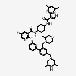 Cc1cc(C)n2ncc(C(=O)NC3CCC(NC(=O)c4cc(F)cnc4Oc4cccc(-c5ccc(CN6CC(C)NC(C)C6)cc5CN5CCOCC5C)c4)CC3)c2n1